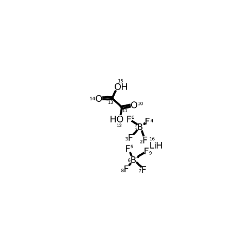 F[B-](F)(F)F.F[B-](F)(F)F.O=C(O)C(=O)O.[LiH]